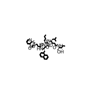 CCCC[C@H](NC(=O)[C@H](Cc1cccc2ccccc12)NC(=O)CCSSc1ncccc1[N+](=O)[O-])C(=O)N[C@@H](CC(C)C)[C@@H](O)CC(=O)N[C@H](CO)[C@@H](C)CC